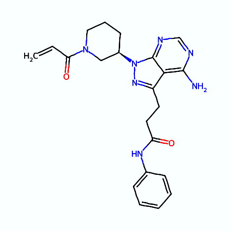 C=CC(=O)N1CCC[C@@H](n2nc(CCC(=O)Nc3ccccc3)c3c(N)ncnc32)C1